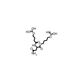 NC(=O)CC(NC(=O)CCCON(O)O)C(=O)OCCCCON(O)O